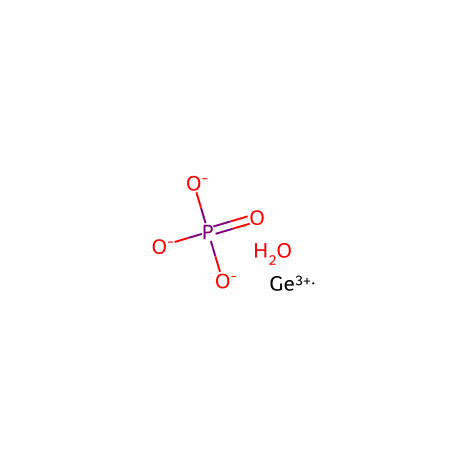 O.O=P([O-])([O-])[O-].[Ge+3]